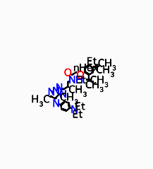 CCCCCCC(Oc1ccc(C(C)(C)CC)cc1C(C)(C)CC)C(=O)NCC(C)c1nc2n(n1)N=C(C)/C2=N/c1ccc(N(CC)CC)cc1C